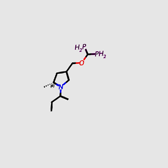 CCC(C)N1CC(COC(P)P)C[C@H]1C